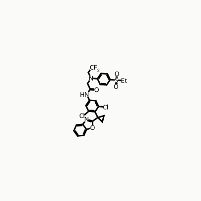 CCS(=O)(=O)c1ccc(N(CC(=O)Nc2cc(Cl)c(C3(c4nc5ccccc5o4)CC3)c(Cl)c2)CC(F)(F)F)cc1